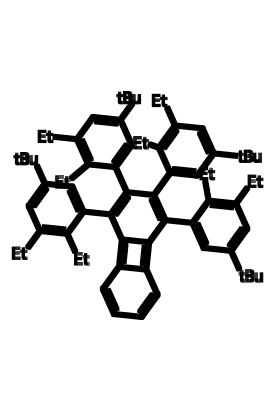 CCc1cc(C(C)(C)C)cc(-c2c(-c3cc(C(C)(C)C)cc(CC)c3CC)c(-c3cc(C(C)(C)C)cc(CC)c3CC)c3c(c2-c2cc(C(C)(C)C)cc(CC)c2CC)=c2ccccc2=3)c1CC